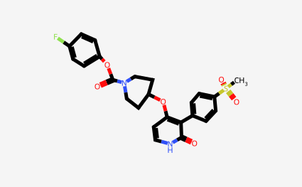 CS(=O)(=O)c1ccc(-c2c(OC3CCN(C(=O)Oc4ccc(F)cc4)CC3)cc[nH]c2=O)cc1